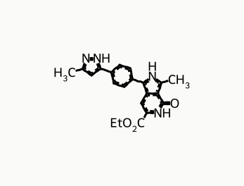 CCOC(=O)c1cc2c(-c3ccc(-c4cc(C)n[nH]4)cc3)[nH]c(C)c2c(=O)[nH]1